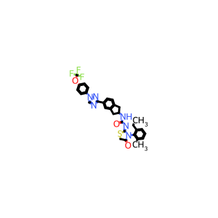 CCc1cccc(C)c1N1C(=O)CSC1=NC(=O)NC1Cc2ccc(-c3ncn(-c4ccc(OC(F)(F)F)cc4)n3)cc2C1